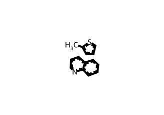 Cc1cccs1.c1ccc2ncccc2c1